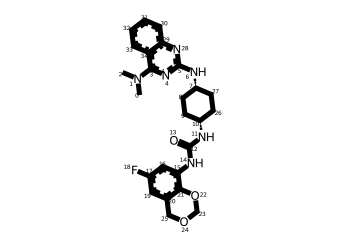 CN(C)c1nc(N[C@H]2CC[C@@H](NC(=O)Nc3cc(F)cc4c3OCOC4)CC2)nc2ccccc12